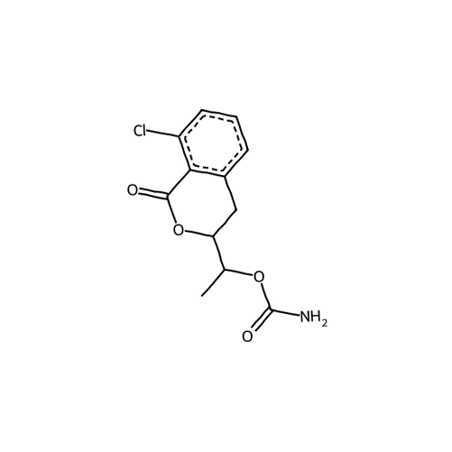 CC(OC(N)=O)C1Cc2cccc(Cl)c2C(=O)O1